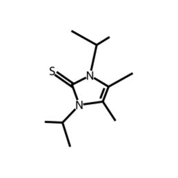 Cc1c(C)n(C(C)C)c(=S)n1C(C)C